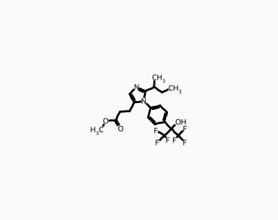 CCC(C)c1ncc(CCC(=O)OC)n1-c1ccc(C(O)(C(F)(F)F)C(F)(F)F)cc1